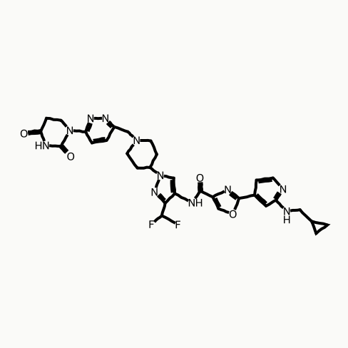 O=C1CCN(c2ccc(CN3CCC(n4cc(NC(=O)c5coc(-c6ccnc(NCC7CC7)c6)n5)c(C(F)F)n4)CC3)nn2)C(=O)N1